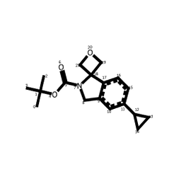 CC(C)(C)OC(=O)N1Cc2cc(C3CC3)ccc2C12COC2